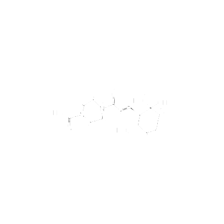 CC(=O)N1CCN(C(=O)/C=C/[C@@H]2[C@@H](C)CCCC2(C)C)CC1